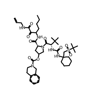 C=CCNC(=O)C(=O)C(CCCC)NC(=O)[C@@H]1CC(OC(=O)N2CCc3ccccc3C2)CN1C(=O)[C@@H](NC(=O)NC1(CS(=O)(=O)C(C)(C)C)CCCCC1)C(C)(C)C